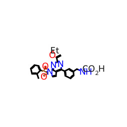 C=C(OCC)c1nc(-c2cccc(CNC(=O)O)c2)c2ccn(S(=O)(=O)c3ccccc3C)c2n1